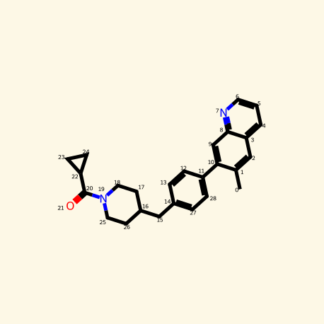 Cc1cc2cccnc2cc1-c1ccc(CC2CCN(C(=O)C3CC3)CC2)cc1